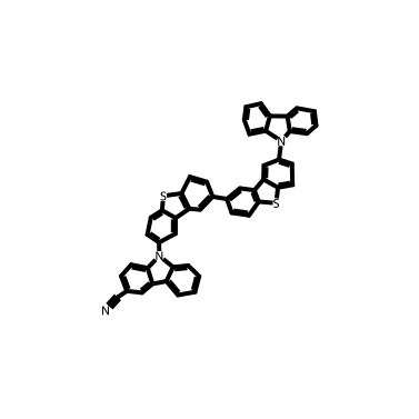 N#Cc1ccc2c(c1)c1ccccc1n2-c1ccc2sc3ccc(-c4ccc5sc6ccc(-n7c8ccccc8c8ccccc87)cc6c5c4)cc3c2c1